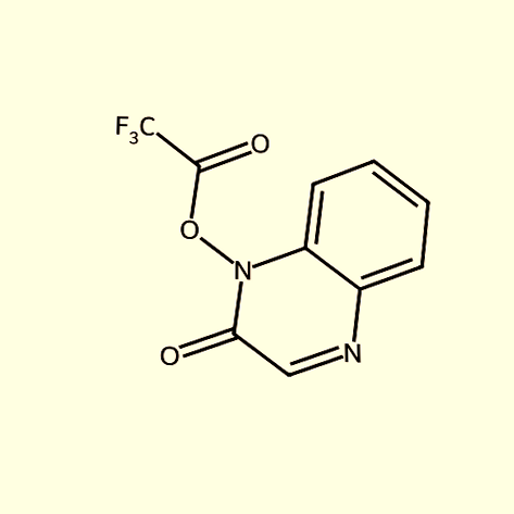 O=C(On1c(=O)cnc2ccccc21)C(F)(F)F